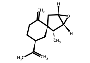 C=C(C)[C@H]1CCC(=C)[C@]2(C1)C[C@@H]1O[C@@H]1[C@@H]2C